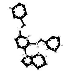 c1ccc(COc2ccc(-n3ccc4cccnc43)c(OCc3ccccc3)n2)cc1